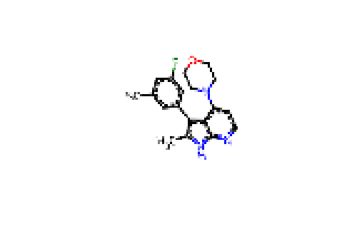 Cc1[nH]c2nccc(N3CCOCC3)c2c1-c1cc(F)cc(C#N)c1